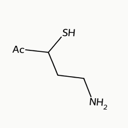 CC(=O)C(S)CCN